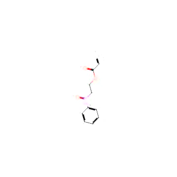 C=CC(=O)OCC[PH](=O)c1cc[c]cc1